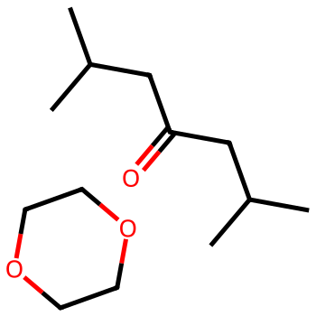 C1COCCO1.CC(C)CC(=O)CC(C)C